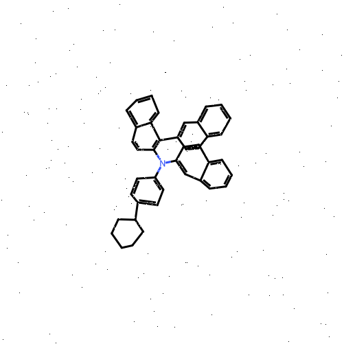 c1ccc2cc(-c3c(N(c4ccc(C5CCCCC5)cc4)c4ccc5ccccc5c4)ccc4ccccc34)ccc2c1